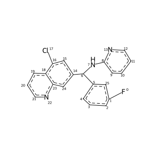 Fc1cccc(C(Nc2ccccn2)c2cc(Cl)c3cccnc3c2)c1